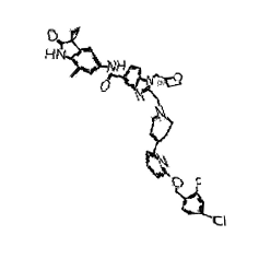 Cc1cc(NC(=O)c2ccc3c(c2)nc(CN2CC=C(c4cccc(OCc5ccc(Cl)cc5F)n4)CC2)n3C[C@@H]2CCO2)cc2c1NC(=O)C21CC1